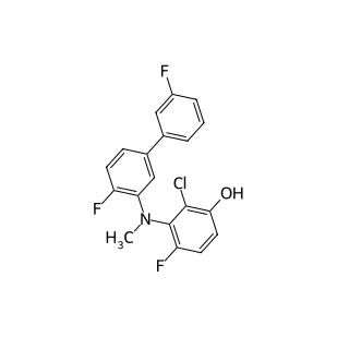 CN(c1cc(-c2cccc(F)c2)ccc1F)c1c(F)ccc(O)c1Cl